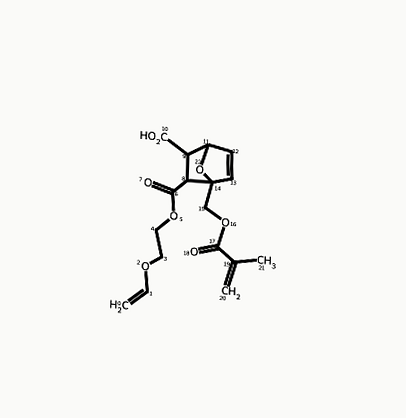 C=COCCOC(=O)C1C(C(=O)O)C2C=CC1(COC(=O)C(=C)C)O2